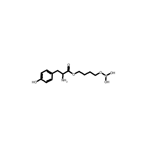 NC(Cc1ccc(O)cc1)C(=O)OCCCCON(O)O